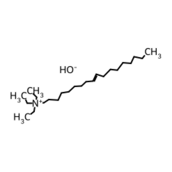 CCCCCCCCC=CCCCCCCCC[N+](CC)(CC)CC.[OH-]